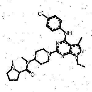 CCn1nc(C)c2c(Nc3ccc(Cl)cc3)nc(N3CCC(N(C)C(=O)C4CCCN4C)CC3)nc21